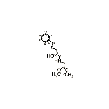 COC(CNC[C@H](O)COCc1ccccc1)OC